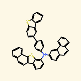 c1ccc2c(c1)ccc1ccc(N(c3ccc(-c4ccc5sc6ccccc6c5c4)cc3)c3cccc4c3sc3c5ccccc5ccc43)cc12